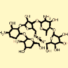 CC1OC(OC2C(CN=[N+]=[N-])OC(OC3C(OC4OC(CO)CC(O)C4N)CCC(N)C3O)C2O)C(N)C(O)C1OC1OC(CO)C(O)C(O)C1O